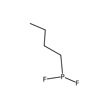 CCCCP(F)F